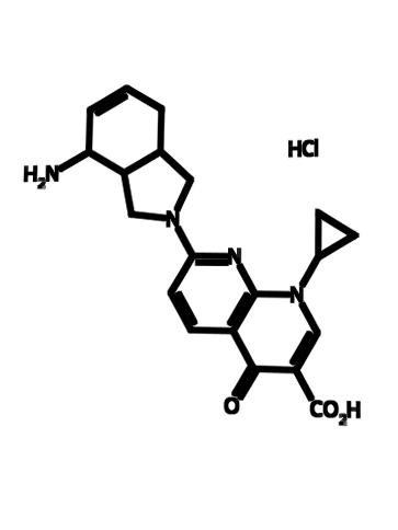 Cl.NC1C=CCC2CN(c3ccc4c(=O)c(C(=O)O)cn(C5CC5)c4n3)CC12